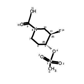 CS(=O)(=O)O[C@@H]1CCN(C(=O)O)C[C@H]1F